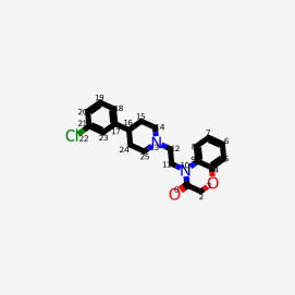 O=C1COc2ccccc2N1CCN1CCC(c2cccc(Cl)c2)CC1